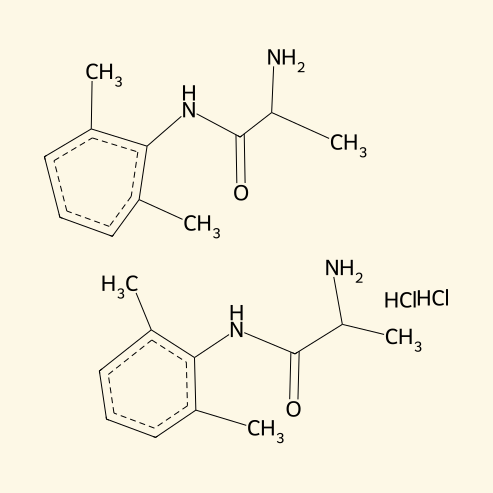 Cc1cccc(C)c1NC(=O)C(C)N.Cc1cccc(C)c1NC(=O)C(C)N.Cl.Cl